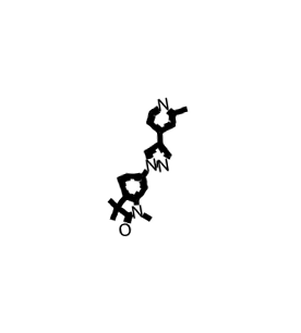 Cc1cc(-c2cnn(-c3ccc4c(c3)N(C)C(=O)C4(C)C)c2)ccn1